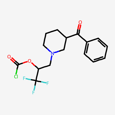 O=C(Cl)OC(CN1CCCC(C(=O)c2ccccc2)C1)C(F)(F)F